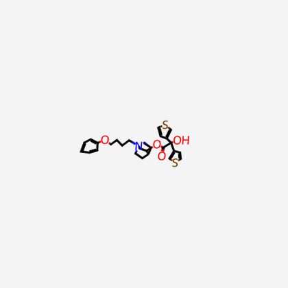 O=C(OC1C[N+]2(CCCCOc3ccccc3)CCC1CC2)C(O)(c1ccsc1)c1ccsc1